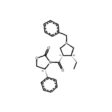 CC[C@H]1CN(Cc2ccccc2)C[C@H]1C(=O)N1C(=O)OC[C@H]1c1ccccc1